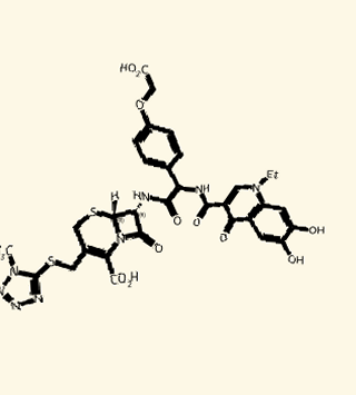 CCn1cc(C(=O)NC(C(=O)N[C@@H]2C(=O)N3C(C(=O)O)=C(CSc4nnnn4C)CS[C@H]23)c2ccc(OCC(=O)O)cc2)c(=O)c2cc(O)c(O)cc21